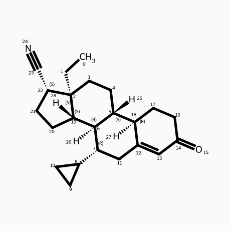 CC[C@]12CC[C@H]3[C@@H]([C@@H](C4CC4)CC4=CC(=O)CC[C@@H]43)[C@@H]1CC[C@@H]2C#N